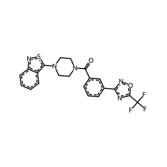 O=C(c1cccc(-c2noc(C(F)(F)F)n2)c1)N1CCN(c2snc3ccccc23)CC1